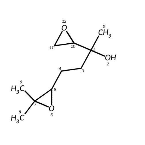 CC(O)(CCC1OC1(C)C)C1CO1